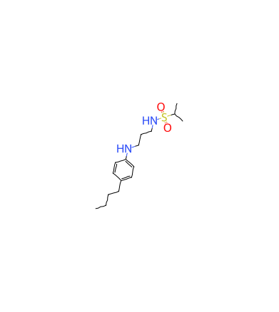 CCCCc1ccc(NCCCNS(=O)(=O)C(C)C)cc1